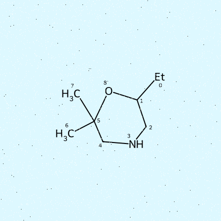 CCC1CNCC(C)(C)O1